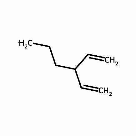 [CH2]CCC(C=C)C=C